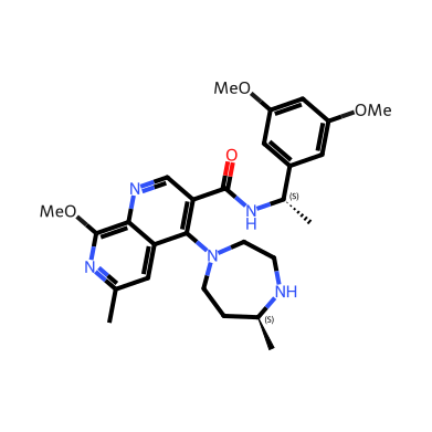 COc1cc(OC)cc([C@H](C)NC(=O)c2cnc3c(OC)nc(C)cc3c2N2CCN[C@@H](C)CC2)c1